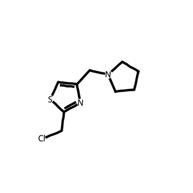 ClCc1nc(CN2CCCC2)cs1